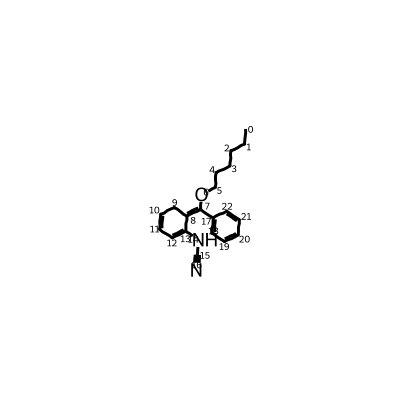 CCCCCCOC(=C1CC=CC=C1NC#N)c1ccccc1